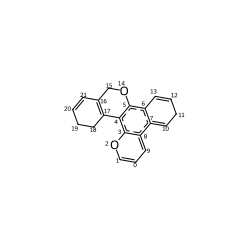 C1=COc2c3c(c4c(c2=C1)=CCC=C4)OCC1=C3CCC=C1